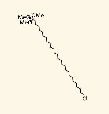 CO[Si](CCCCCCCCCCCCCCCCCCCCCCCCCCCCl)(OC)OC